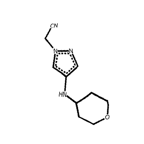 N#CCn1cc(NC2CCOCC2)cn1